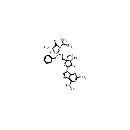 CNc1nc(C)nc2c1ncn2[C@@H]1O[C@](CCl)(CO[P@](=S)(N[C@H](C)C(=O)OC(C)C)Oc2ccccc2)[C@@H](O)[C@@H]1F